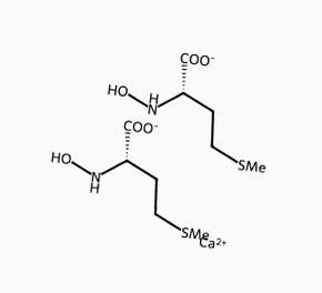 CSCC[C@H](NO)C(=O)[O-].CSCC[C@H](NO)C(=O)[O-].[Ca+2]